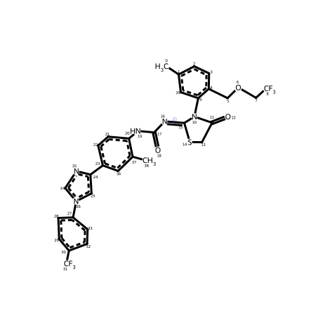 Cc1ccc(COCC(F)(F)F)c(N2C(=O)CS/C2=N\C(=O)Nc2ccc(-c3cn(-c4ccc(C(F)(F)F)cc4)cn3)cc2C)c1